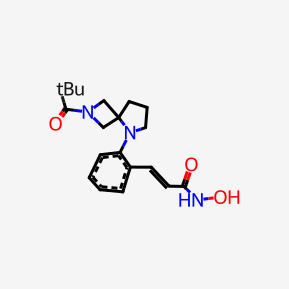 CC(C)(C)C(=O)N1CC2(CCCN2c2ccccc2C=CC(=O)NO)C1